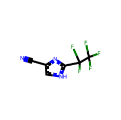 N#Cc1c[nH]c(C(F)(F)C(F)(F)F)n1